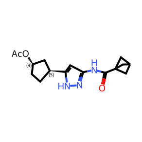 CC(=O)O[C@@H]1CC[C@H](c2cc(NC(=O)C34CC(C3)C4)n[nH]2)C1